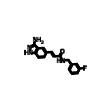 Nc1n[nH]c2ccc(/C=C/C(=O)NCc3cccc(F)c3)cc12